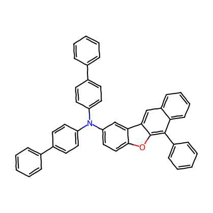 c1ccc(-c2ccc(N(c3ccc(-c4ccccc4)cc3)c3ccc4oc5c(-c6ccccc6)c6ccccc6cc5c4c3)cc2)cc1